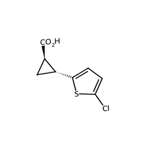 O=C(O)[C@@H]1C[C@H]1c1ccc(Cl)s1